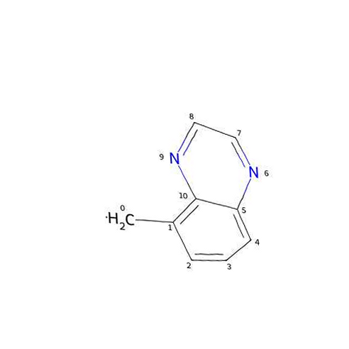 [CH2]c1cccc2nccnc12